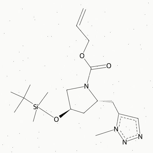 C=CCOC(=O)N1C[C@H](O[Si](C)(C)C(C)(C)C)C[C@H]1Cc1cnnn1C